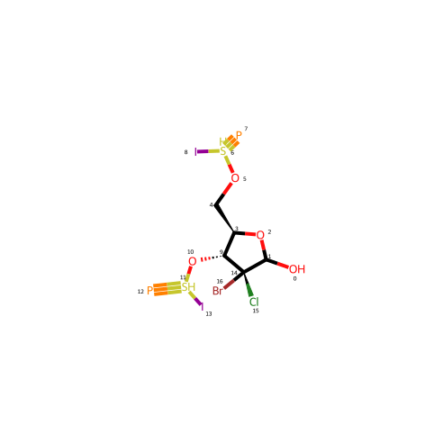 OC1O[C@H](CO[SH](#P)I)[C@@H](O[SH](#P)I)[C@@]1(Cl)Br